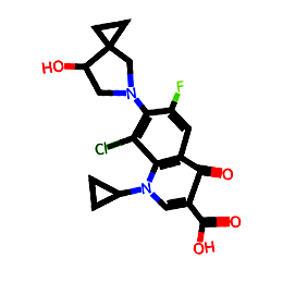 O=C(O)c1cn(C2CC2)c2c(Cl)c(N3CC(O)C4(CC4)C3)c(F)cc2c1=O